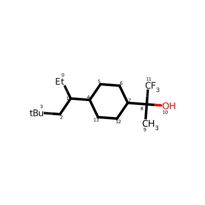 CCC(CC(C)(C)C)C1CCC(C(C)(O)C(F)(F)F)CC1